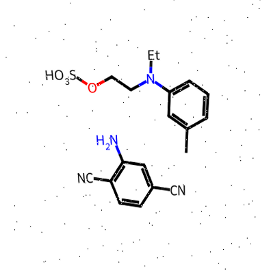 CCN(CCOS(=O)(=O)O)c1cccc(C)c1.N#Cc1ccc(C#N)c(N)c1